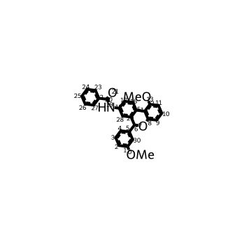 COc1cccc(C2Oc3cccc(OC)c3-c3ccc(NC(=O)c4ccccc4)cc32)c1